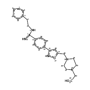 N=C(NCCc1ccccc1)c1ccc(-c2cc(CN3CCN(CC(=O)O)CC3)on2)cc1